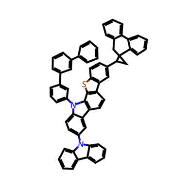 c1ccc(-c2cccc(-c3cccc(-n4c5ccc(-n6c7ccccc7c7ccccc76)cc5c5ccc6c7cc(C8CC89Cc8ccccc8-c8ccccc89)ccc7sc6c54)c3)c2)cc1